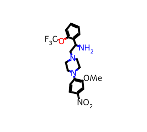 COc1cc([N+](=O)[O-])ccc1N1CCN(CC(N)c2ccccc2OC(F)(F)F)CC1